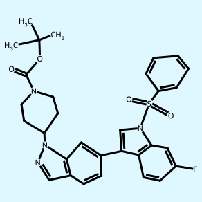 CC(C)(C)OC(=O)N1CCC(n2ncc3ccc(-c4cn(S(=O)(=O)c5ccccc5)c5cc(F)ccc45)cc32)CC1